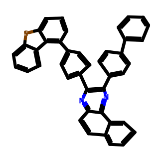 c1ccc(-c2ccc(-c3nc4c(ccc5ccccc54)nc3-c3ccc(-c4cccc5sc6ccccc6c45)cc3)cc2)cc1